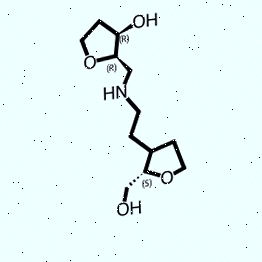 OC[C@H]1OCCC1CCNC[C@H]1OCC[C@H]1O